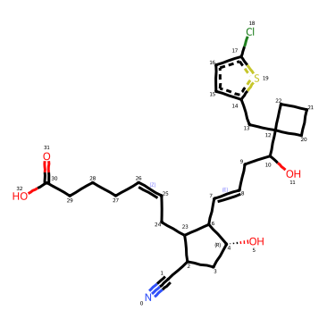 N#CC1C[C@@H](O)C(/C=C/CC(O)C2(Cc3ccc(Cl)s3)CCC2)C1C/C=C\CCCC(=O)O